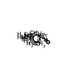 CCCN1C[C@H](C)C[C@@](C)(OC)[C@H](O[C@@H]2O[C@H](C)C[C@H](N(C)C)[C@H]2O)[C@@H](C)C(=O)C(C)(C)C(=O)OC=C1CCCN1Cc2ccccc2C1